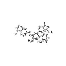 Cc1n[nH]c2ncc(-c3cc(OC[C@H](N)Cc4cccc(C(F)(F)F)c4)c(N)nc3-c3cccc(F)c3O)nc12